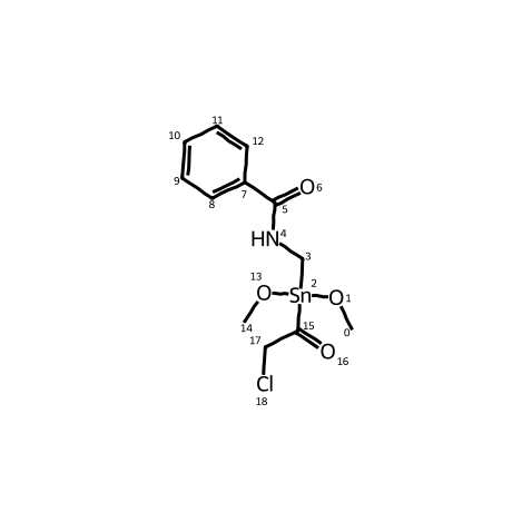 C[O][Sn]([CH2]NC(=O)c1ccccc1)([O]C)[C](=O)CCl